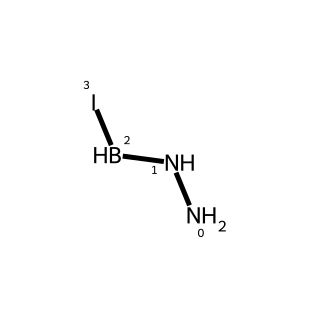 NNBI